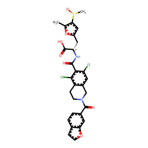 Cc1oc(C[C@H](NC(=O)c2c(Cl)cc3c(c2Cl)CCN(C(=O)c2ccc4ccoc4c2)C3)C(=O)O)cc1[S+](C)[O-]